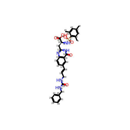 Cc1cc(C)c(S(=O)(=O)N[C@@H](Cc2nc3ccc(C=CCNC(=O)NCc4ccccc4)cc3c(=O)[nH]2)C(=O)O)c(C)c1